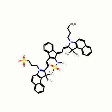 CN(C1=C(/C=C/C2=[N+](CCCS(=O)(=O)[O-])c3ccc4ccccc4c3C2(C)C)c2ccccc2/C1=C\C=C1\N(CCCS(=O)(=O)O)c2ccc3ccccc3c2C1(C)C)S(=O)(=O)C(F)(F)F